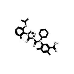 Cc1cc(C)c(N(C(=O)n2nnn(-c3c(F)cccc3OC(C)C)c2=O)C2CCCCC2)cc1C(=O)O